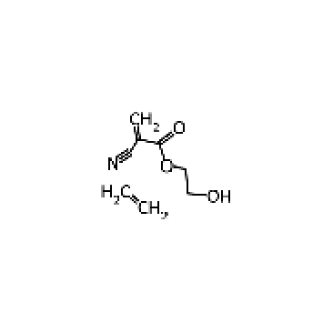 C=C.C=C(C#N)C(=O)OCCO